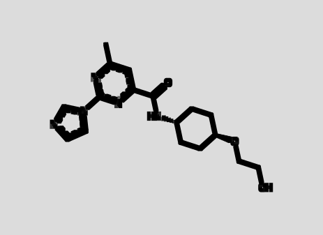 Cc1cc(C(=O)N[C@H]2CC[C@H](OCCO)CC2)nc(-n2ccnc2)n1